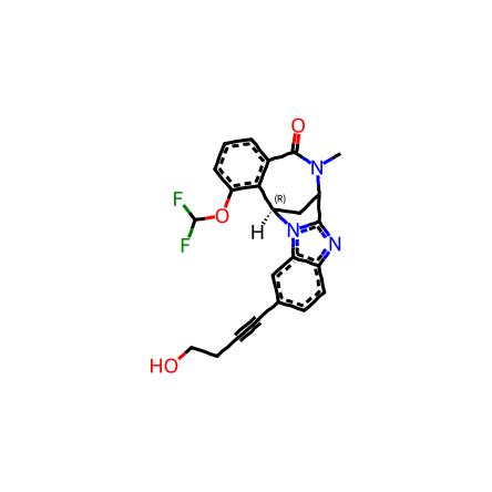 CN1C(=O)c2cccc(OC(F)F)c2[C@H]2CC1c1nc3ccc(C#CCCO)cc3n12